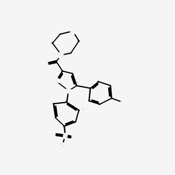 NS(=O)(=O)c1ccc(-n2nc(C(=O)N3CCOCC3)cc2-c2ccc(F)cc2)cc1